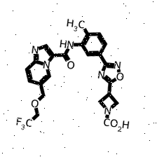 Cc1ccc(-c2noc(C3CN(C(=O)O)C3)n2)cc1NC(=O)c1cnc2ccc(COCC(F)(F)F)cn12